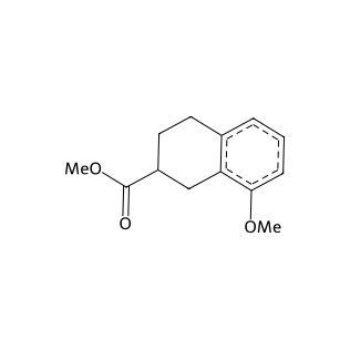 COC(=O)C1CCc2cccc(OC)c2C1